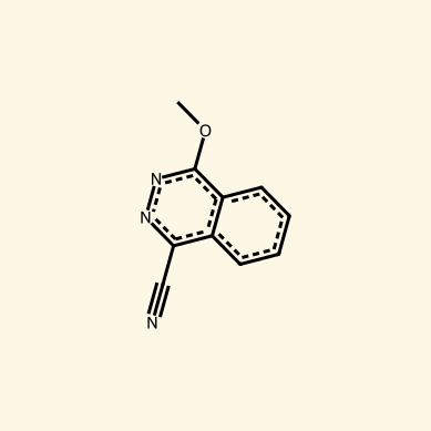 COc1nnc(C#N)c2ccccc12